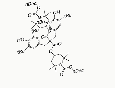 CCCCCCCCCCOC(=O)N1C(C)(C)CC(OC(=O)C(Cc2cc(C(C)(C)C)c(O)c(C(C)(C)C)c2)(Cc2cc(C(C)(C)C)c(O)c(C(C)(C)C)c2)C(=O)OC2CC(C)(C)N(C(=O)OCCCCCCCCCC)C(C)(C)C2)CC1(C)C